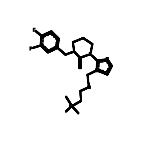 C[Si](C)(C)CCOCn1ccnc1N1CCCC(Cc2ccc(F)c(F)c2)C1=O